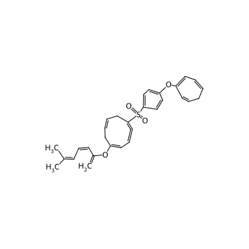 C=C(/C=C\C=C(C)C)O/C1=C/C=C=C(S(=O)(=O)c2ccc(OC3=CC=CCC=C3)cc2)C/C=C\C1